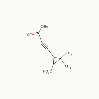 CC(C)COC(=O)C#CC1C(C(=O)O)C1(C)C